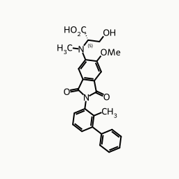 COc1cc2c(cc1N(C)[C@@H](CO)C(=O)O)C(=O)N(c1cccc(-c3ccccc3)c1C)C2=O